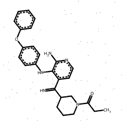 CCC(=O)N1CCCC(C(=N)c2ccnc(N)c2Nc2ccc(Oc3ccccc3)cc2)C1